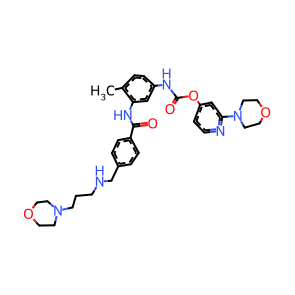 Cc1ccc(NC(=O)Oc2ccnc(N3CCOCC3)c2)cc1NC(=O)c1ccc(CNCCCN2CCOCC2)cc1